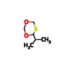 CC(C)C1OCOCS1